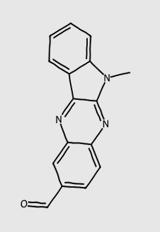 Cn1c2ccccc2c2nc3cc(C=O)ccc3nc21